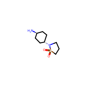 N[C@H]1CC[C@H](N2CCCS2(=O)=O)CC1